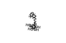 CC1(C)CCOc2ccc(CCCCO[C@@H]3O[C@H](CO)[C@@H](O)[C@H](O)[C@H]3O)cc21